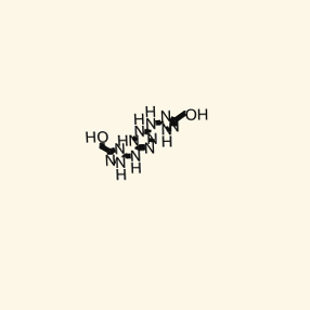 OCc1n[nH]c(NC2=NN=C(Nc3nc(CO)n[nH]3)NN2)n1